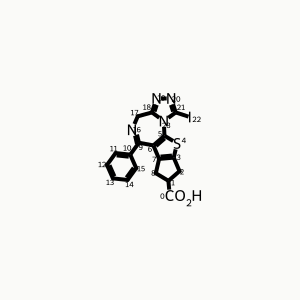 O=C(O)C1Cc2sc3c(c2C1)C(c1ccccc1)=NCc1nnc(I)n1-3